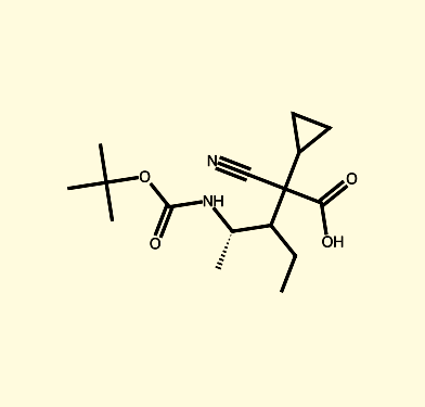 CCC([C@H](C)NC(=O)OC(C)(C)C)C(C#N)(C(=O)O)C1CC1